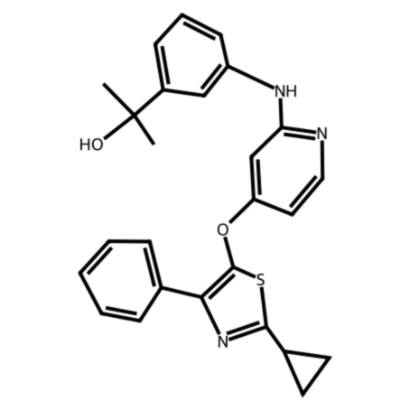 CC(C)(O)c1cccc(Nc2cc(Oc3sc(C4CC4)nc3-c3ccccc3)ccn2)c1